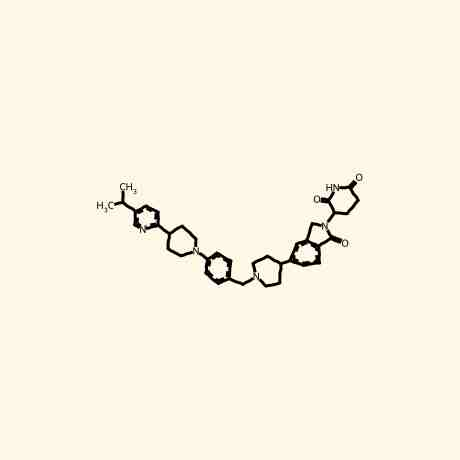 CC(C)c1ccc(C2CCN(c3ccc(CN4CCC(c5ccc6c(c5)CN(C5CCC(=O)NC5=O)C6=O)CC4)cc3)CC2)nc1